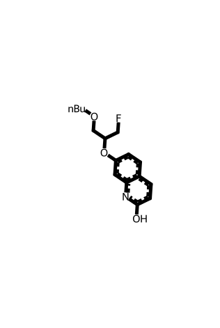 CCCCOCC(CF)Oc1ccc2ccc(O)nc2c1